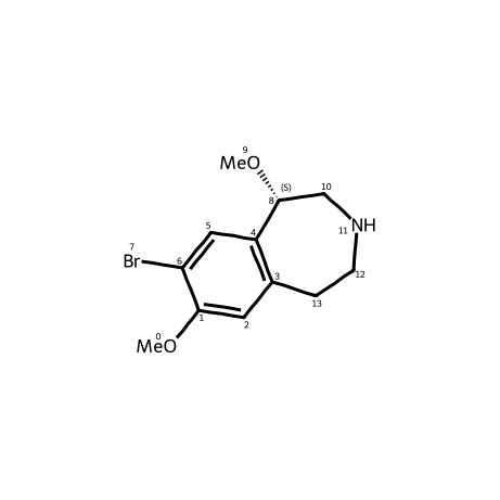 COc1cc2c(cc1Br)[C@H](OC)CNCC2